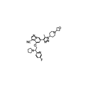 Cc1c(-c2cc(OCC(c3ccc(F)cn3)N3CCCC3)c3c(C#N)cnn3c2)nnn1C1CCN(C2COC2)CC1